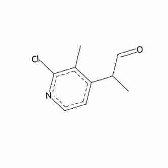 Cc1c(C(C)C=O)ccnc1Cl